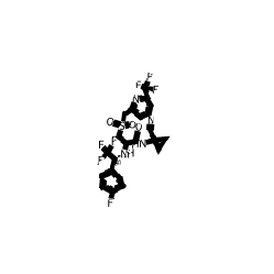 N#CC1(NC(=O)C(CS(=O)(=O)Cc2cccc(C(F)(F)F)n2)N[C@H](c2ccc(F)cc2)C(F)(F)F)CC1